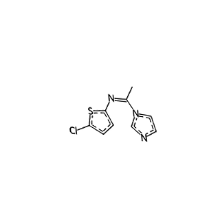 CC(=Nc1ccc(Cl)s1)n1ccnc1